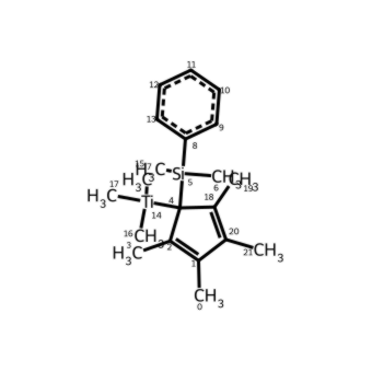 CC1=C(C)[C]([Si](C)(C)c2ccccc2)([Ti]([CH3])([CH3])[CH3])C(C)=C1C